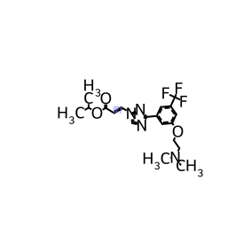 CC(C)OC(=O)/C=C/n1cnc(-c2cc(OCCN(C)C)cc(C(F)(F)F)c2)n1